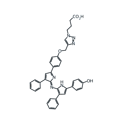 O=C(O)CCCn1cc(COc2ccc(C3=NC(=Nc4[nH]c(-c5ccc(O)cc5)cc4-c4ccccc4)C(c4ccccc4)=C3)cc2)nn1